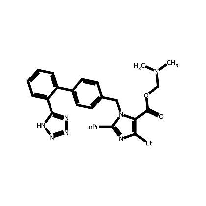 CCCc1nc(CC)c(C(=O)OCN(C)C)n1Cc1ccc(-c2ccccc2-c2nnn[nH]2)cc1